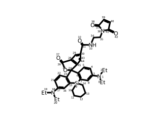 CCN(CC)c1ccc2c(c1)[Si]1(CCCCC1)c1cc(N(CC)CC)ccc1C21OC(=O)c2cc(C(=O)NCCN3C(=O)C=CC3=O)ccc21